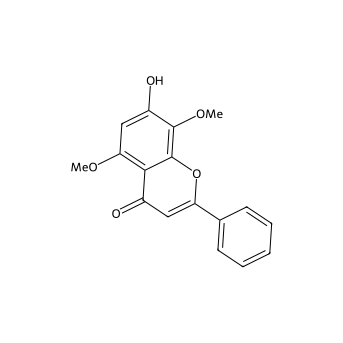 COc1c(O)cc(OC)c2c(=O)cc(-c3ccccc3)oc12